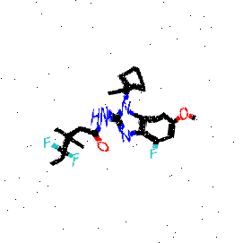 COc1cc(F)c2nc(NC(=O)CC(C)(C)C(C)(F)F)n(C3(C)CCC3)c2c1